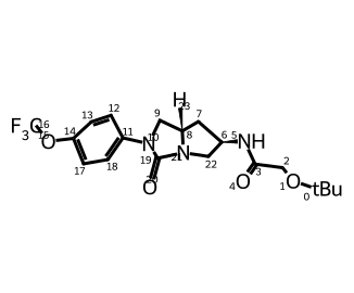 CC(C)(C)OCC(=O)N[C@@H]1C[C@H]2CN(c3ccc(OC(F)(F)F)cc3)C(=O)N2C1